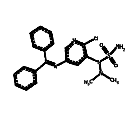 CN(C)N(c1cc(N=C(c2ccccc2)c2ccccc2)cnc1Cl)S(N)(=O)=O